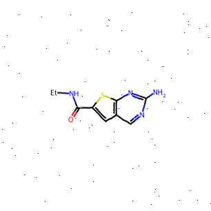 CCNC(=O)c1cc2cnc(N)nc2s1